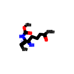 CCC/C=C(/NC(=O)OC(C)(C)C)C(=N)CCCC(=O)OC